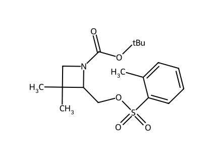 Cc1ccccc1S(=O)(=O)OCC1N(C(=O)OC(C)(C)C)CC1(C)C